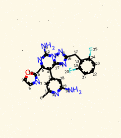 Cc1cc(-c2c(-c3ncco3)nc(N)n3nc(Cc4c(F)cccc4F)nc23)cc(N)n1